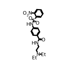 CCN(CC)CCNC(=O)c1ccc(NS(=O)(=O)c2ccccc2[N+](=O)[O-])cc1